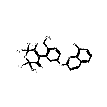 CCc1ccc(Oc2ccc3cccc(Cl)c3n2)cc1C1=C(O)C(C)(C)OC(C)(C)C1=O